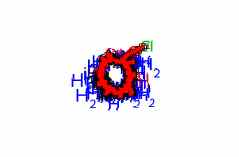 CC(C)[C@@H]1CC(=O)[C@H](Cc2ccccc2)NC(=O)[C@@H](Cc2ccc(O)cc2)NC(=O)CSC[C@@H](C(=O)NCC(=O)NCCOCCOCCCCCCCl)NC(=O)[C@H](CCCNC(=N)N)NC(=O)[C@H](Cc2ccccc2)NC(=O)[C@H]([C@@H](C)O)NC(=O)[C@H](CCCNC(=N)N)NC(=O)[C@H](Cc2ccccc2)NC(=O)[C@H](CC(N)=O)NC(=O)[C@H](CCCNC(=N)N)NC(=O)[C@H](Cc2ccccc2)NC(=O)[C@H](CC(N)=O)NC1=O